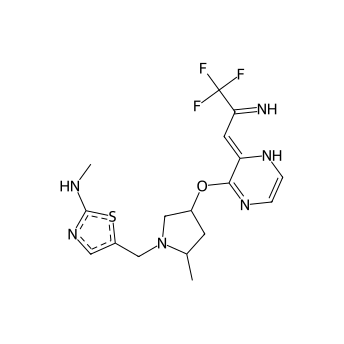 CNc1ncc(CN2CC(OC3=NC=CN/C3=C\C(=N)C(F)(F)F)CC2C)s1